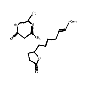 CCC1CNC(=O)CC(C)=N1.CCCCCCCCC=CCCCCC1CCC(=O)O1